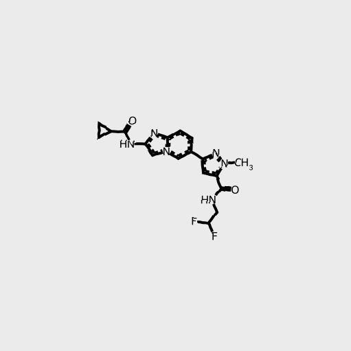 Cn1nc(-c2ccc3nc(NC(=O)C4CC4)cn3c2)cc1C(=O)NCC(F)F